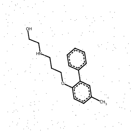 Cc1ccc(OCCCNCCO)c(-c2ccccc2)c1